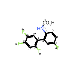 O=C(O)Nc1ccc(F)cc1-c1cc(F)c(F)cc1F